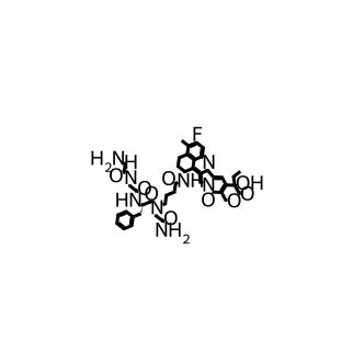 CC[C@@]1(O)C(=O)OCc2c1cc1n(c2=O)Cc2c-1nc1cc(F)c(C)c3c1c2[C@@H](NC(=O)CCCN(CC(N)=O)C(=O)[C@H](Cc1ccccc1)NC(=O)CNC(=O)CN)CC3